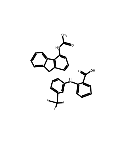 CC(=O)Nc1cccc2c1-c1ccccc1C2.O=C(O)c1ccccc1Nc1cccc(C(F)(F)F)c1